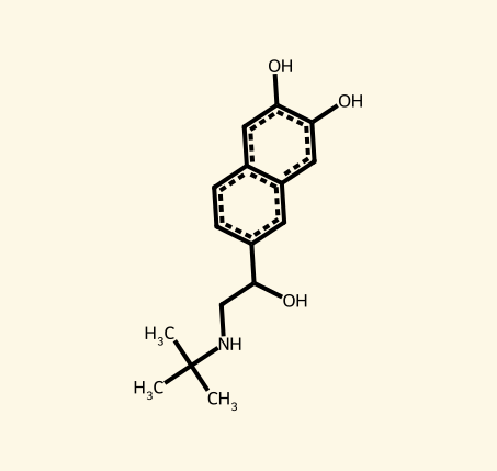 CC(C)(C)NCC(O)c1ccc2cc(O)c(O)cc2c1